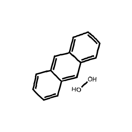 OO.c1ccc2cc3ccccc3cc2c1